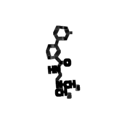 CN(C)CCNC(=O)c1cccc(-c2c[c]ccc2)c1